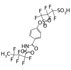 CC(F)(F)C(F)(F)C(F)(F)S(=O)(=O)NC(=O)c1ccc(OS(=O)(=O)C(F)(F)C(F)(F)C(F)(F)S(=O)(=O)O)cc1